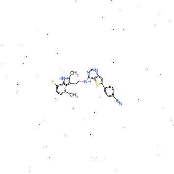 Cc1[nH]c2c(F)ccc(C)c2c1CCNc1ncnc2cc(-c3ccc(C#N)cc3)sc12